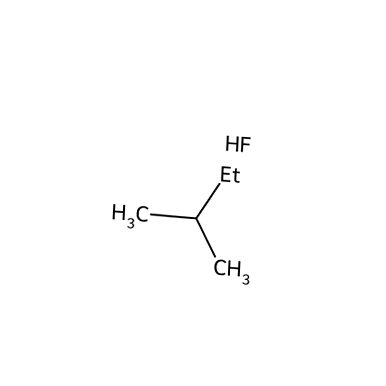 CCC(C)C.F